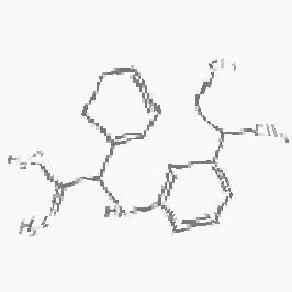 C=C(C)C(Nc1cccc(C(C)CC)c1)C1=CC=CCC1